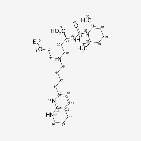 CCOCCN(CCCCc1ccc2c(n1)NCCC2)CC[C@H](NC(=O)N1[C@H](C)CCC[C@H]1C)C(=O)O